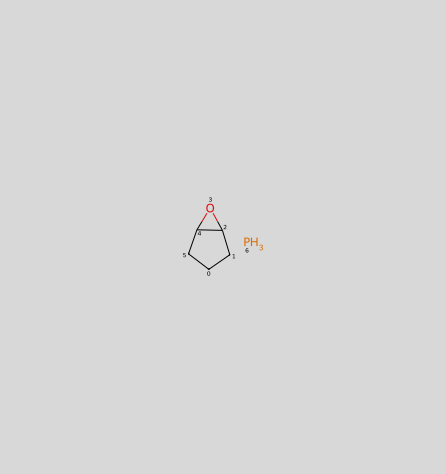 C1CC2OC2C1.P